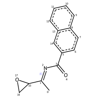 C/C(=N\C(=O)c1ccc2ccccc2c1)C1CO1